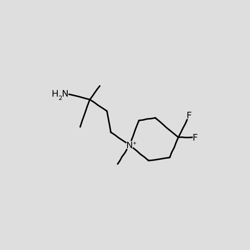 CC(C)(N)CC[N+]1(C)CCC(F)(F)CC1